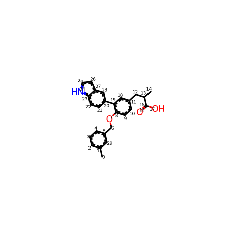 Cc1cccc(COc2ccc(CC(C)C(=O)O)cc2-c2ccc3[nH]ccc3c2)c1